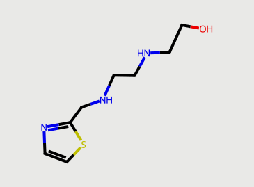 OCCNCCNCc1nccs1